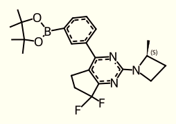 C[C@H]1CCN1c1nc(-c2cccc(B3OC(C)(C)C(C)(C)O3)c2)c2c(n1)C(F)(F)CC2